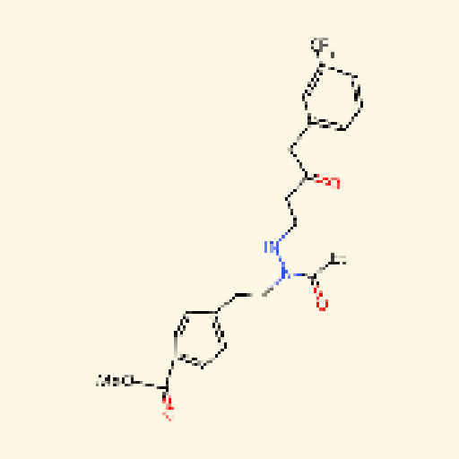 CCC(=O)N(CCc1ccc(C(=O)OC)cc1)NCCC(=O)Cc1cccc(C(F)(F)F)c1